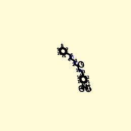 O=C(/C=C/C=C/c1ccccc1)/C=C/c1ccc([N+](=O)[O-])cc1